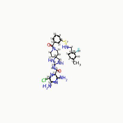 Cc1ccc(CNSc2cccc(C(=O)N3CCC4(CC3)CN/C(=N\C(=O)c3nc(Cl)c(N)nc3N)N4)c2)c(F)c1